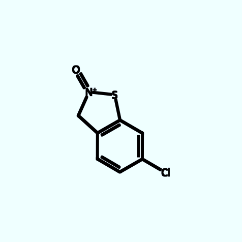 O=[N+]1Cc2ccc(Cl)cc2S1